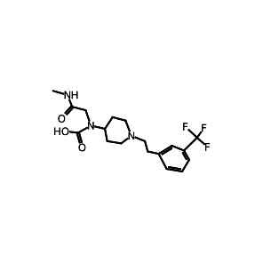 CNC(=O)CN(C(=O)O)C1CCN(CCc2cccc(C(F)(F)F)c2)CC1